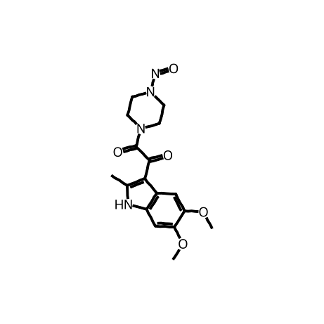 COc1cc2[nH]c(C)c(C(=O)C(=O)N3CCN(N=O)CC3)c2cc1OC